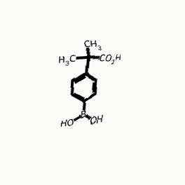 CC(C)(C(=O)O)c1ccc(B(O)O)cc1